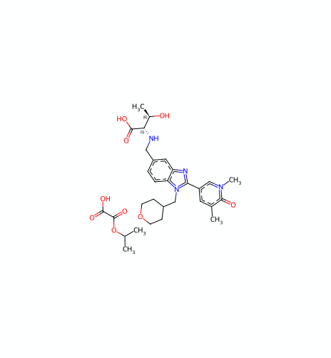 CC(C)OC(=O)C(=O)O.Cc1cc(-c2nc3cc(CN[C@H](C(=O)O)[C@@H](C)O)ccc3n2CC2CCOCC2)cn(C)c1=O